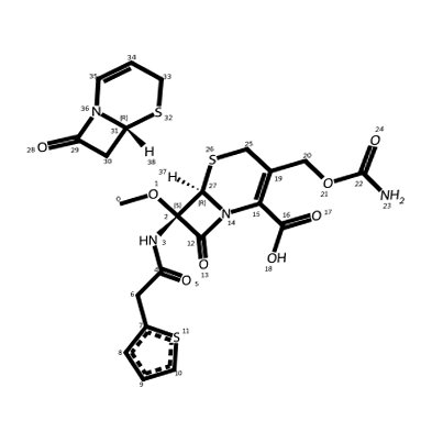 CO[C@@]1(NC(=O)Cc2cccs2)C(=O)N2C(C(=O)O)=C(COC(N)=O)CS[C@@H]21.O=C1C[C@H]2SCC=CN12